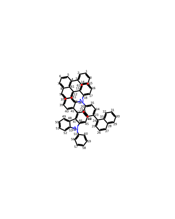 c1ccc(-c2cccc3cccc(-c4ccccc4N(c4ccc(-c5cccc6ccccc56)cc4)c4ccccc4-c4cccc5c4c4ccccc4n5-c4ccccc4)c23)cc1